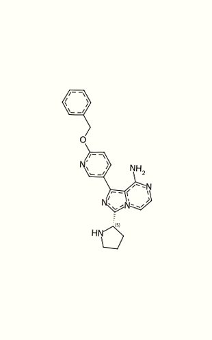 Nc1nccn2c([C@@H]3CCCN3)nc(-c3ccc(OCc4ccccc4)nc3)c12